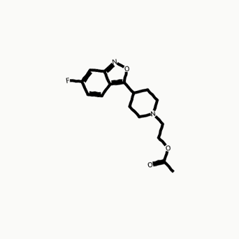 CC(=O)OCCN1CCC(c2onc3cc(F)ccc23)CC1